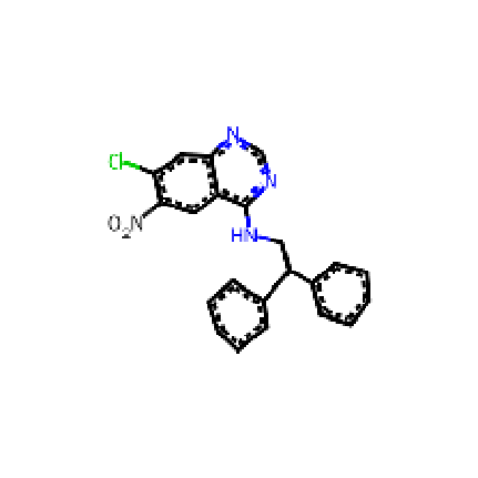 O=[N+]([O-])c1cc2c(NCC(c3ccccc3)c3ccccc3)ncnc2cc1Cl